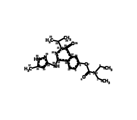 CCN(CC)C(=O)Oc1ccc2c(Nc3cc(C)[nH]n3)nn(C(C)C)c(=O)c2c1